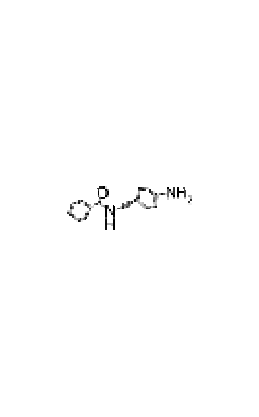 Nc1ccc(C#CNC(=O)c2ccccc2)cc1